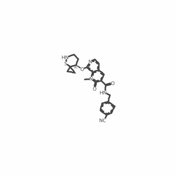 Cn1c(=O)c(C(=O)NCc2ccc(C#N)cc2)cc2ccnc(O[C@@H]3CCNSC34CC4)c21